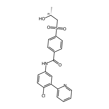 C[C@@H](O)CS(=O)(=O)c1ccc(C(=O)Nc2ccc(Cl)c(-c3ccccn3)c2)cc1